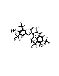 CCOC1C(Cc2cc(C(C)(C)C)c(O)c(C(C)(C)C)c2)CCCC1Cc1cc(C(C)(C)C)c(O)c(C(C)(C)C)c1